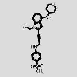 CS(=O)(=O)c1ccc(NCC#Cc2cc3c(NC4CCOCC4)cccc3n2CC(F)(F)F)cc1